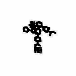 CCC1=Cc2c(-c3ccc(C(C)CC)cc3)cccc2[CH]1[Zr]([CH3])([CH3])(=[SiH2])[CH]1C(C2CCCCC2)=Cc2c(-c3ccc(C(C)CC)cc3)cccc21.Cl.Cl